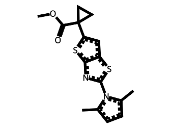 COC(=O)C1(c2cc3sc(-n4c(C)ccc4C)nc3s2)CC1